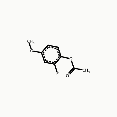 COc1ccc(OC(C)=O)c(F)c1